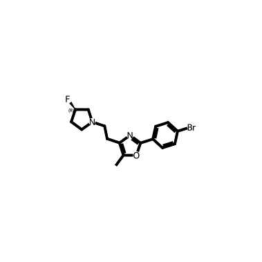 Cc1oc(-c2ccc(Br)cc2)nc1CCN1CC[C@@H](F)C1